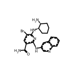 NC(=O)c1cc(Br)c(N[C@@H]2CCCC[C@@H]2N)nc1Nc1cnc2ccccc2c1